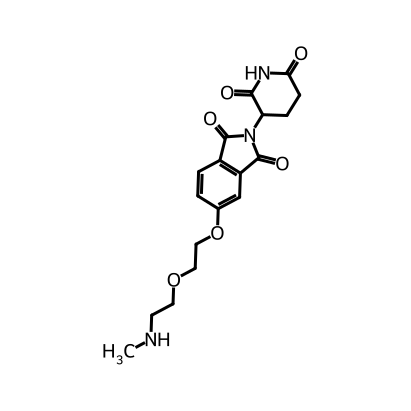 CNCCOCCOc1ccc2c(c1)C(=O)N(C1CCC(=O)NC1=O)C2=O